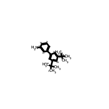 CC(C)(C)c1cc(-c2cccc(N)c2)cc(C(C)(C)C)c1